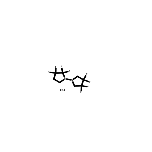 Cl.FC1(F)CN(N2CCC(F)(F)C2(F)F)CC1(F)F